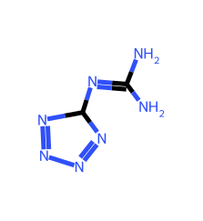 NC(N)=NC1N=NN=N1